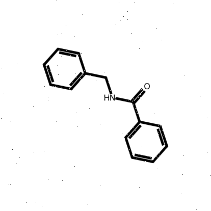 O=C(NCc1[c]cccc1)c1ccccc1